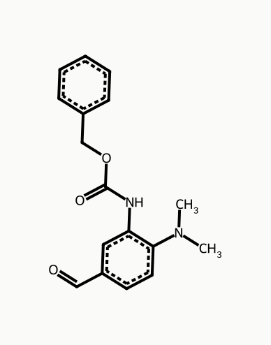 CN(C)c1ccc(C=O)cc1NC(=O)OCc1ccccc1